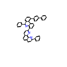 c1ccc(-c2ccc(-c3cccc4c(-c5ccccc5)nc5c(-c6ccc7ccc8ccc(-c9ccccc9)nc8c7n6)cccc5c34)cc2)cc1